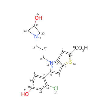 O=C(O)c1cc2c(cc(-c3ccc(O)cc3Cl)n2CCCN2CC(O)C2)s1